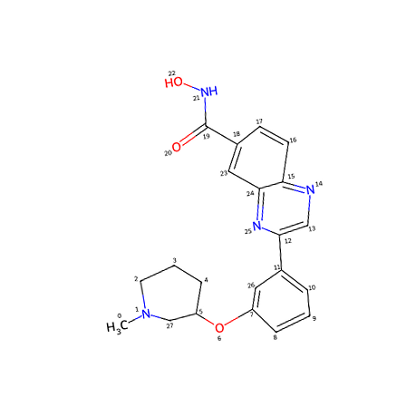 CN1CCCC(Oc2cccc(-c3cnc4ccc(C(=O)NO)cc4n3)c2)C1